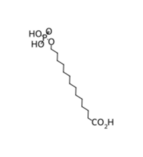 O=C(O)CCCCCCCCCCCCCOP(=O)(O)O